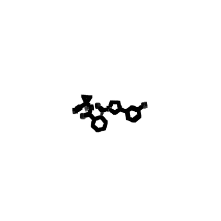 N#CC1(NC(=O)C2CCCC[C@H]2C(=O)N2CCC(c3cccc(Cl)c3)C2)CC1